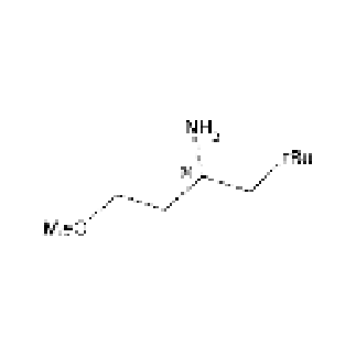 COCC[C@H](N)CC(C)(C)C